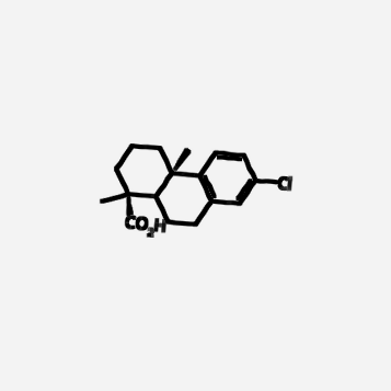 C[C@]1(C(=O)O)CCC[C@]2(C)c3ccc(Cl)cc3CCC12